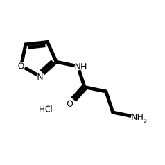 Cl.NCCC(=O)Nc1ccon1